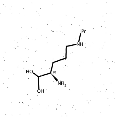 CC(C)NCCC[C@@H](N)C(O)O